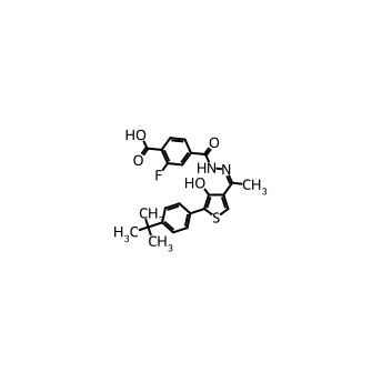 CC(=NNC(=O)c1ccc(C(=O)O)c(F)c1)c1csc(-c2ccc(C(C)(C)C)cc2)c1O